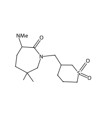 CNC1CCC(C)(C)CN(CC2CCCS(=O)(=O)C2)C1=O